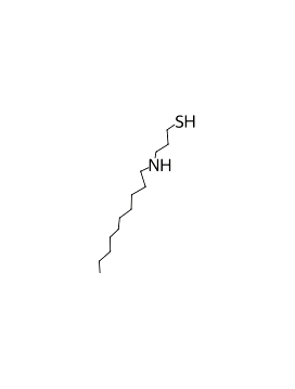 CCCCCCCCCCNCCCS